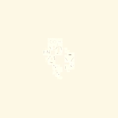 CN1CCN(c2ccc(NC(=CC(=O)O)c3ccc(Cc4ccc(OC(F)(F)F)cc4)cc3)cc2)CC1